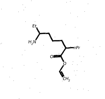 C=COC(=O)C(CCC)CCCC(N)CC